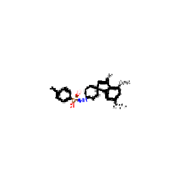 COc1cc(OC)c2c(c1)C1(C=C2C(C)C)CCC(NS(=O)(=O)c2ccc(C)cc2)CC1